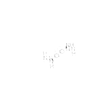 c1cc(-c2ccc(-c3c[nH]c(C4CCCN4)n3)c3c2C2(CCCC2)CC3)ccc1-c1c[nH]c(C2CCCN2)n1